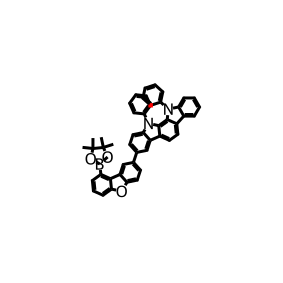 CC1(C)OB(c2cccc3oc4ccc(-c5ccc6c(c5)c5ccc7c8ccccc8n(-c8ccccc8)c7c5n6-c5ccccc5)cc4c23)OC1(C)C